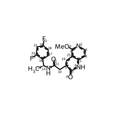 COc1nccc2[nH]c(=O)c(CC(=O)N[C@@H](C)c3ccc(F)cc3F)cc12